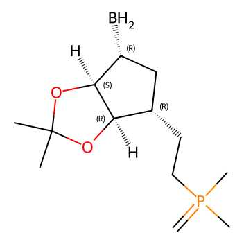 B[C@@H]1C[C@H](CCP(=C)(C)C)[C@H]2OC(C)(C)O[C@H]21